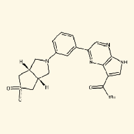 CC(C)(C)C(=O)c1c[nH]c2ncc(-c3cccc(N4C[C@@H]5CS(=O)(=O)C[C@@H]5C4)c3)nc12